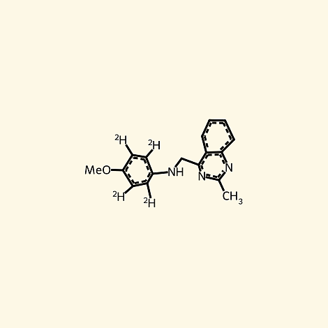 [2H]c1c([2H])c(OC)c([2H])c([2H])c1NCc1nc(C)nc2ccccc12